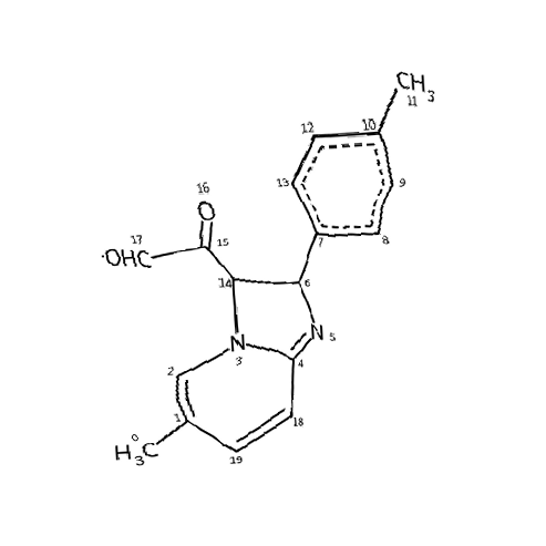 CC1=CN2C(=NC(c3ccc(C)cc3)C2C(=O)[C]=O)C=C1